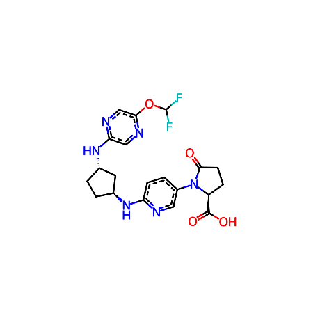 O=C(O)[C@@H]1CCC(=O)N1c1ccc(N[C@H]2CC[C@H](Nc3cnc(OC(F)F)cn3)C2)nc1